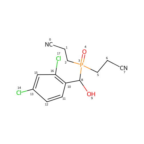 N#CCCP(=O)(CCC#N)C(O)c1ccc(Cl)cc1Cl